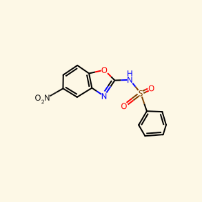 O=[N+]([O-])c1ccc2oc(NS(=O)(=O)c3ccccc3)nc2c1